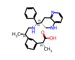 C[C@@H](CN[C@H](c1ccccc1)[C@H]1CNc2cccnc2C1)c1cccc([C@@H](C)C(=O)O)c1